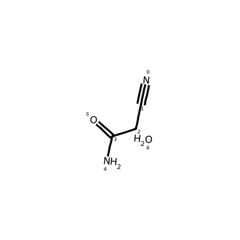 N#CCC(N)=O.O